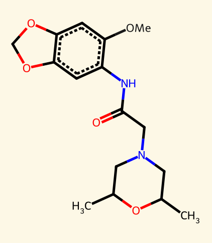 COc1cc2c(cc1NC(=O)CN1CC(C)OC(C)C1)OCO2